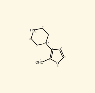 O=Cc1occc1N1CCNCC1